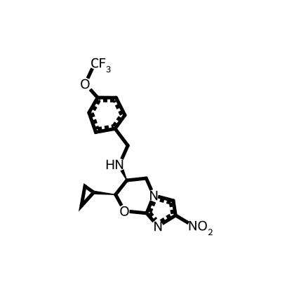 O=[N+]([O-])c1cn2c(n1)O[C@@H](C1CC1)[C@@H](NCc1ccc(OC(F)(F)F)cc1)C2